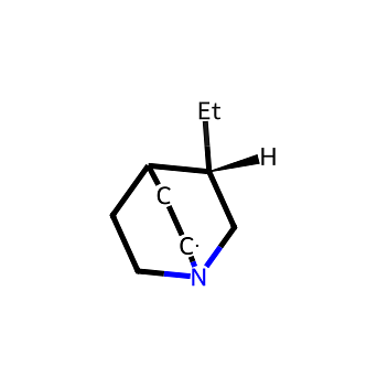 CC[C@@H]1CN2[CH]CC1CC2